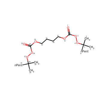 CCCCCC(C)(C)OOC(=O)OCCCCOC(=O)OOC(C)(C)CCCCC